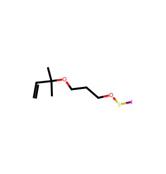 C=CC(C)(C)OCCCOSI